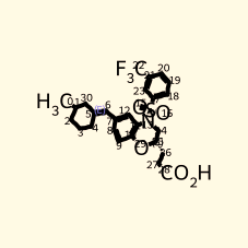 CC1CCC/C(=C\c2ccc3c(c2)N(S(=O)(=O)c2cccc(C(F)(F)F)c2)C[C@H](CCC(=O)O)O3)C1